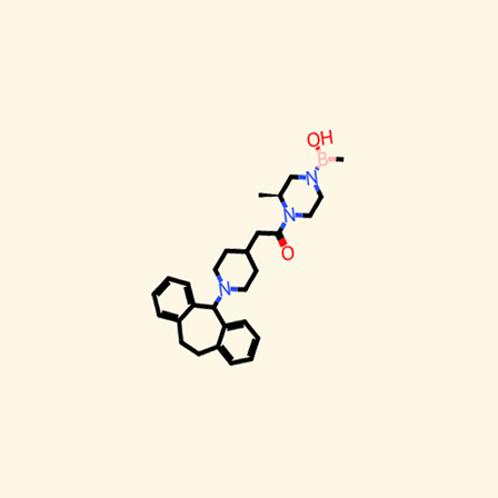 CB(O)N1CCN(C(=O)CC2CCN(C3c4ccccc4CCc4ccccc43)CC2)[C@@H](C)C1